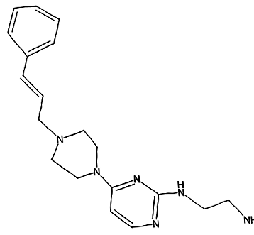 NCCNc1nccc(N2CCN(CC=Cc3ccccc3)CC2)n1